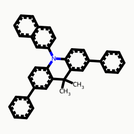 CC1(C)c2cc(-c3ccccc3)ccc2N(c2ccc3ccccc3c2)c2ccc(-c3ccccc3)cc21